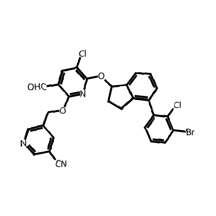 N#Cc1cncc(COc2nc(OC3CCc4c(-c5cccc(Br)c5Cl)cccc43)c(Cl)cc2C=O)c1